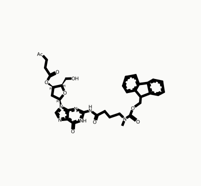 CC(=O)CCC(=O)O[C@@H]1C[C@H](n2cnc3c(=O)[nH]c(NC(=O)CCCN(C)C(=O)OCC4c5ccccc5-c5ccccc54)nc32)O[C@@H]1CO